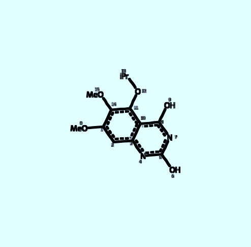 COc1cc2nc(O)nc(O)c2c(OC(C)C)c1OC